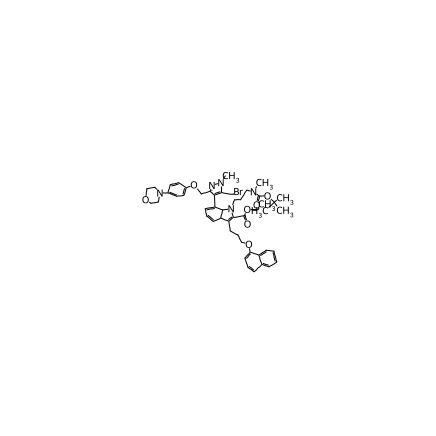 CCOC(=O)C1=C(CCCOc2cccc3ccccc23)C2C=CC=C(c3c(COc4ccc(N5CCOCC5)cc4)nn(C)c3CBr)C2N1CCCN(C)C(=O)OC(C)(C)C